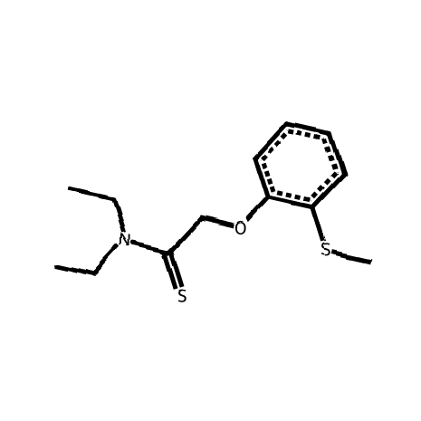 CCN(CC)C(=S)COc1ccccc1SC